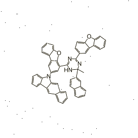 CC1(c2ccc3ccccc3c2)N=C(c2ccc3oc4ccccc4c3c2)N=C(c2cc(-n3c4ccccc4c4cc5ccccc5cc43)cc3c2oc2ccccc23)N1